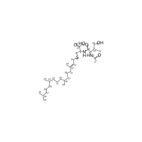 CC(=O)NC(C(=O)NC(CSC/C=C(\C)CCCC(C)CCCC(C)CCCC(C)C)C(=O)O)C(C)CO